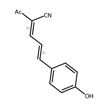 CC(=O)/C(C#N)=C/C=C/c1ccc(O)cc1